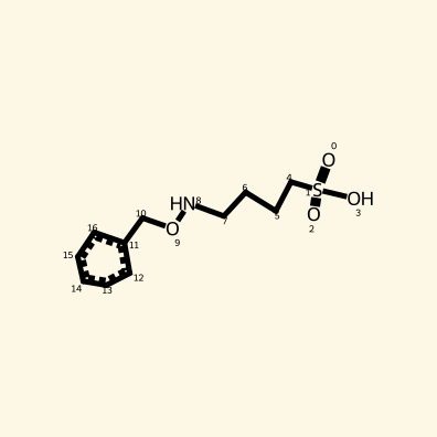 O=S(=O)(O)CCCCNOCc1ccccc1